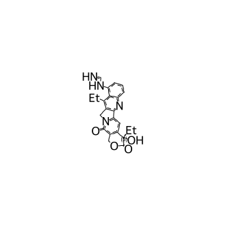 CCc1c2c(nc3cccc(NC=N)c13)-c1cc3c(c(=O)n1C2)COC(=O)[C@]3(O)CC